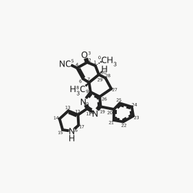 C[C@H]1C(=O)C(C#N)=C[C@@]2(C)c3nc(C4=CCCNC4)nc(-c4ccccc4)c3CC[C@H]12